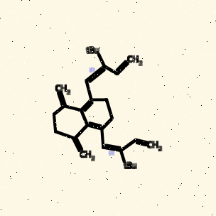 C=C/C(=C\C1=C2C(=C)CCC(=C)C2=C(/C=C(\C=C)C(C)(C)C)CC1)C(C)(C)C